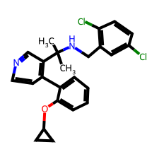 CC(C)(NCc1cc(Cl)ccc1Cl)c1cnccc1-c1ccccc1OC1CC1